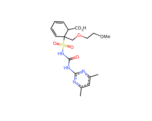 COCCOCC1(S(=O)(=O)NC(=O)Nc2nc(C)cc(C)n2)C=CC=CC1C(=O)O